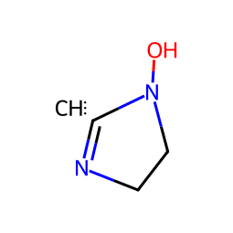 ON1C=NCC1.[CH]